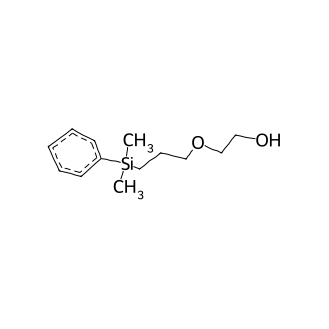 C[Si](C)(CCCOCCO)c1ccccc1